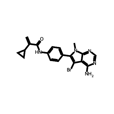 C=C(C(=O)Nc1ccc(-c2c(Br)c3c(N)ncnc3n2C)cc1)C1CC1